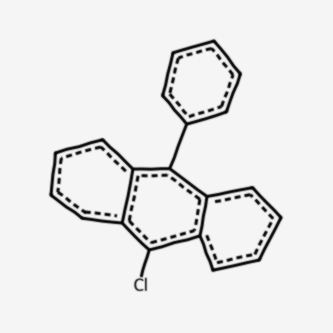 Clc1c2ccccc2c(-c2ccccc2)c2ccccc12